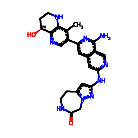 Cc1c(-c2cc3cc(Nc4cc5n(n4)CC(=O)NCC5)ncc3c(N)n2)cnc2c1NCC[C@H]2O